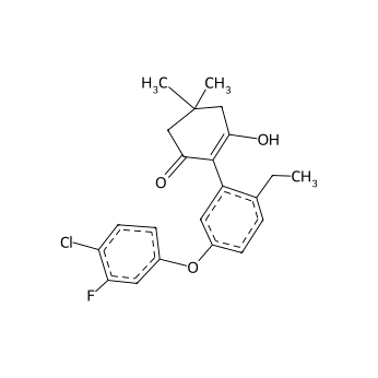 CCc1ccc(Oc2ccc(Cl)c(F)c2)cc1C1=C(O)CC(C)(C)CC1=O